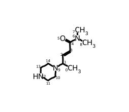 CC(C=CC(=O)N(C)C)N1CCNCC1